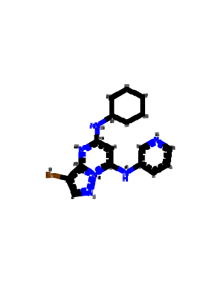 Brc1cnn2c(Nc3cccnc3)cc(NC3CCCCC3)nc12